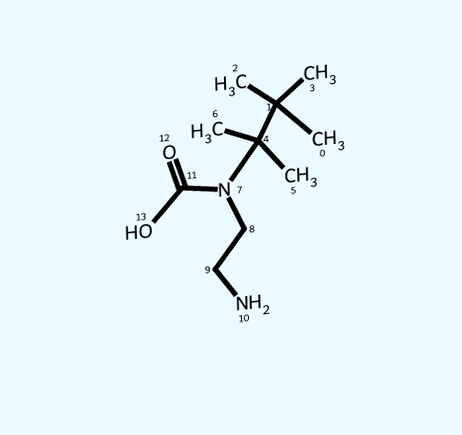 CC(C)(C)C(C)(C)N(CCN)C(=O)O